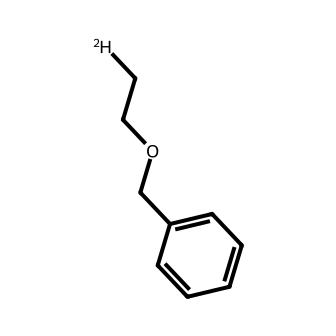 [2H]CCOCc1ccccc1